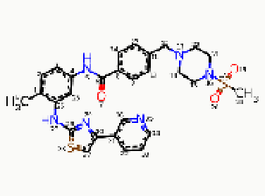 Cc1ccc(NC(=O)c2ccc(CN3CCN(S(C)(=O)=O)CC3)cc2)cc1Nc1nc(-c2cccnc2)cs1